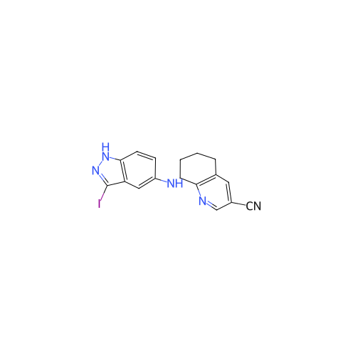 N#Cc1cnc2c(c1)CCCC2Nc1ccc2[nH]nc(I)c2c1